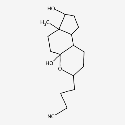 CC12CCC3(O)OC(CCCC#N)CCC3C1CCC2O